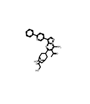 CC(=O)c1c(C2CC3CC(O)C(C2)N3C(=O)CO)nc2c(-c3ccc(-c4ccccc4)nc3)cnn2c1N